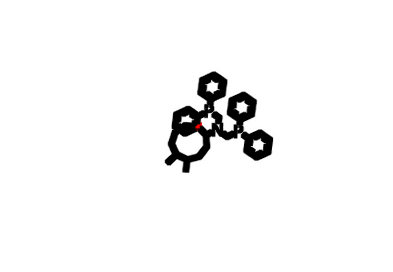 CC1CCCCC(N(CP(c2ccccc2)c2ccccc2)CP(c2ccccc2)c2ccccc2)CCC1C